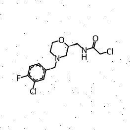 O=C(CCl)NC[C@H]1CN(Cc2ccc(F)c(Cl)c2)CCO1